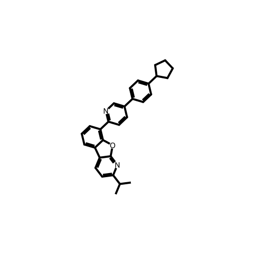 CC(C)c1ccc2c(n1)oc1c(-c3ccc(-c4ccc(C5CCCC5)cc4)cn3)cccc12